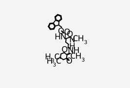 CNC(=O)C(CCCNC(C)=C1C(=O)CC(C)(C)CC1=O)NC(=O)OCC1c2ccccc2-c2ccccc21